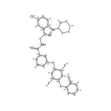 O=C(NCc1nn(C2CCCCO2)c2ccc(Cl)cc12)c1cncc(Cc2cc(F)c(Cn3ccccc3=O)cc2F)c1